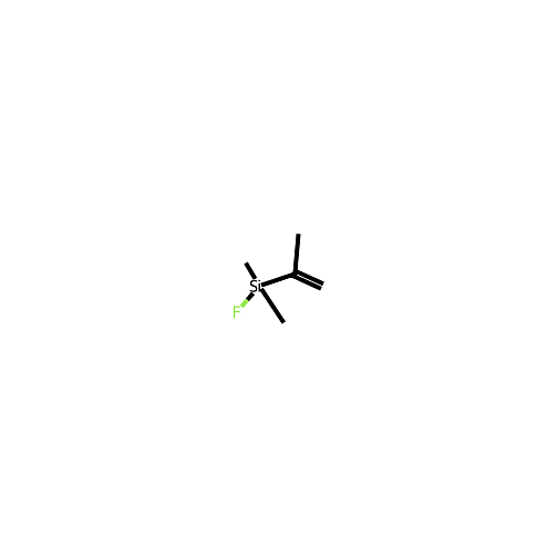 C=C(C)[Si](C)(C)F